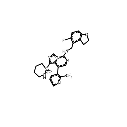 O=[SH]1(c2ncn3c(NCc4c(F)ccc5c4CCO5)ncc(-c4cccnc4C(F)(F)F)c23)CCCCN1